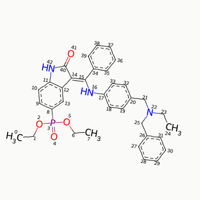 CCOP(=O)(OCC)c1ccc2c(c1)C(=C(Nc1ccc(CN(CC)Cc3ccccc3)cc1)c1ccccc1)C(=O)N2